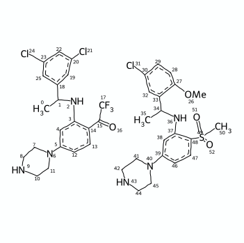 CC(Nc1cc(N2CCNCC2)ccc1C(=O)C(F)(F)F)c1cc(Cl)cc(Cl)c1.COc1ccc(Cl)cc1C(C)Nc1cc(N2CCNCC2)ccc1S(C)(=O)=O